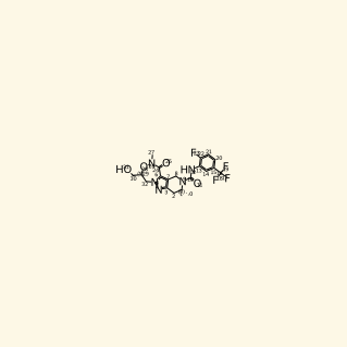 C[C@@H]1Cc2nn3c(c2CN1C(=O)Nc1cc(C(F)(F)F)ccc1F)C(=O)N(C)O[C@H](CO)C3